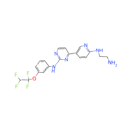 NCCNc1ccc(-c2ccnc(Nc3cccc(OC(F)(F)C(F)F)c3)n2)cn1